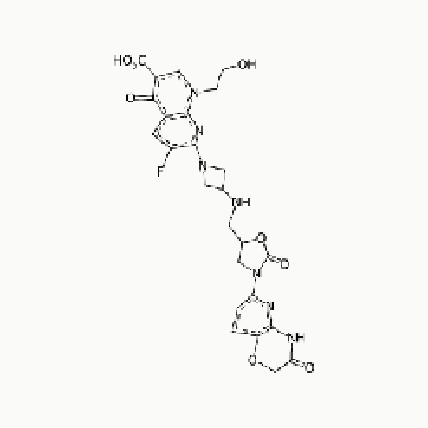 O=C1COc2ccc(N3CC(CNC4CN(c5nc6c(cc5F)c(=O)c(C(=O)O)cn6CCO)C4)OC3=O)nc2N1